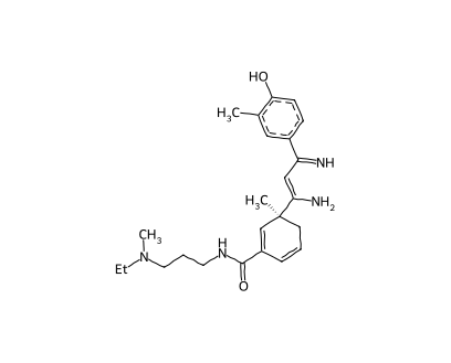 CCN(C)CCCNC(=O)C1=C[C@@](C)(/C(N)=C/C(=N)c2ccc(O)c(C)c2)CC=C1